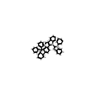 c1ccc(-n2c(-n3c4ccccc4c4cnc5c6c(ccc5c43)-c3ccccc3C6(c3ccccc3)c3ccccc3)nc3ccccc32)cc1